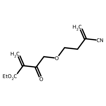 C=C(C#N)CCOCC(=O)C(=C)C(=O)OCC